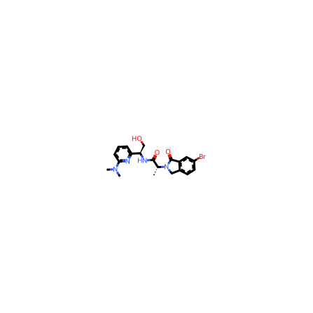 C[C@H](C(=O)N[C@H](CO)c1cccc(N(C)C)n1)N1Cc2ccc(Br)cc2C1=O